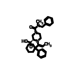 CC=C(N1CCN(C(=O)N(C)Cc2ccccc2)C[C@H]1C(=O)O)C1(c2ccccc2)CCCCC1